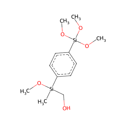 CO[Si](C)(CO)c1ccc([Si](OC)(OC)OC)cc1